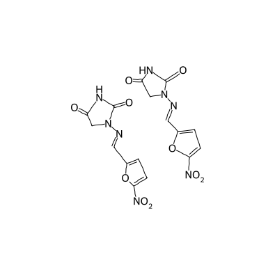 O=C1CN(/N=C/c2ccc([N+](=O)[O-])o2)C(=O)N1.O=C1CN(/N=C/c2ccc([N+](=O)[O-])o2)C(=O)N1